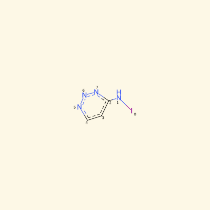 INc1ccnnn1